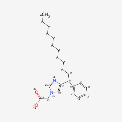 CCCCCCCCCCCC(c1ccccc1)c1cn(CC(=O)O)cn1